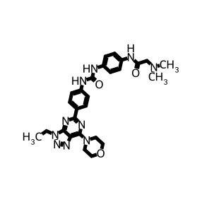 CCn1nnc2c(N3CCOCC3)nc(-c3ccc(NC(=O)Nc4ccc(NC(=O)CN(C)C)cc4)cc3)nc21